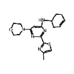 Cc1csc(-c2nc(NC3CC=CCC3)cc(N3CCOCC3)n2)n1